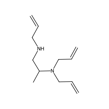 C=CCNCC(C)N(CC=C)CC=C